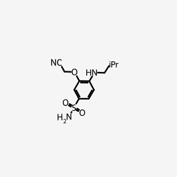 CC(C)CNc1ccc(S(N)(=O)=O)cc1OCC#N